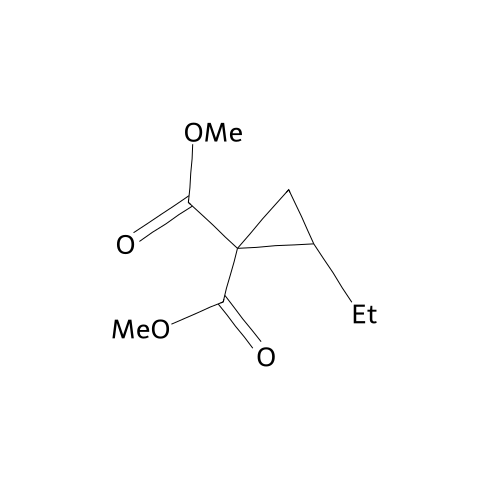 CCC1CC1(C(=O)OC)C(=O)OC